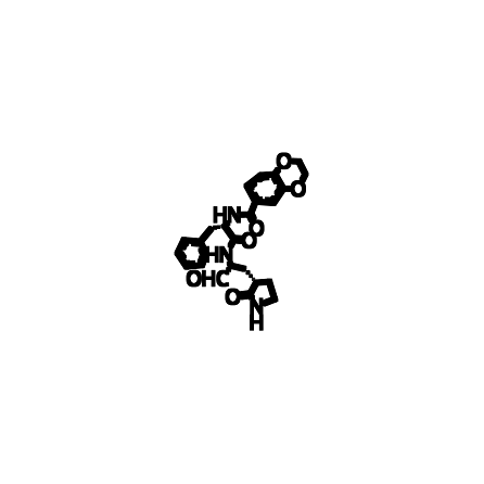 O=C[C@H](C[C@@H]1CCNC1=O)NC(=O)[C@H](Cc1ccccc1)NC(=O)c1ccc2c(c1)OCCO2